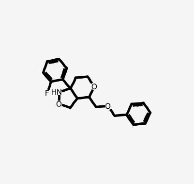 Fc1ccccc1C12CCOC(COCc3ccccc3)C1CON2